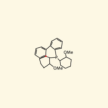 COC1CCCCC1P(c1ccccc1-c1ccccc1)C1CCCCC1OC